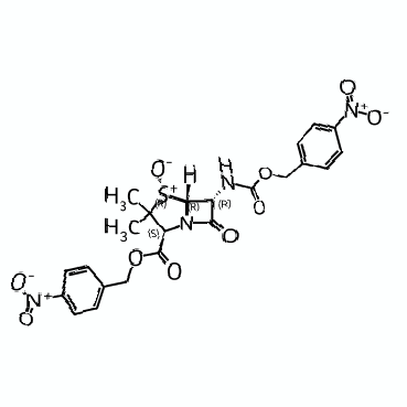 CC1(C)[C@H](C(=O)OCc2ccc([N+](=O)[O-])cc2)N2C(=O)[C@@H](NC(=O)OCc3ccc([N+](=O)[O-])cc3)[C@H]2[S@@+]1[O-]